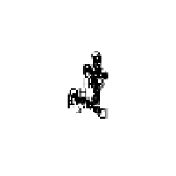 CC1(CN2CCN(C(=O)CC(=O)O)CC2)CCC(c2ccc(Cl)cc2)=C(CN2CCN(c3ccc(C(=O)NS(=O)(=O)c4ccc(NC(CCN5CCCOCC5)CSc5ccccc5)c(S(=O)(=O)C(F)(F)F)c4)cc3)CC2)C1